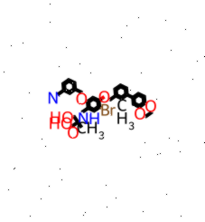 Cc1c(COc2cc(OCc3cccc(C#N)c3)c(CNC(C)(CO)C(=O)O)cc2Br)cccc1-c1ccc2c(c1)OCCO2